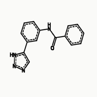 O=C(Nc1cccc(-c2cnn[nH]2)c1)c1ccccc1